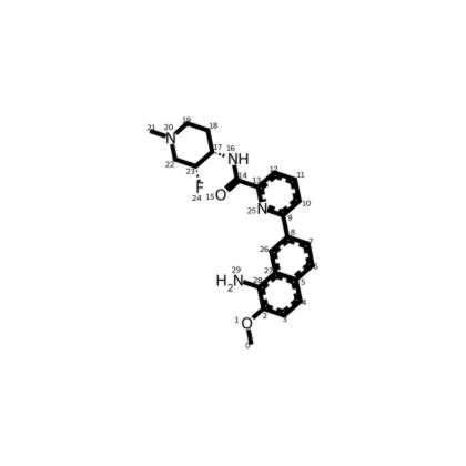 COc1ccc2ccc(-c3cccc(C(=O)N[C@H]4CCN(C)C[C@H]4F)n3)cc2c1N